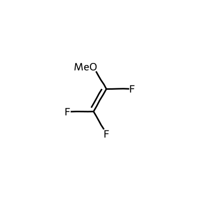 COC(F)=C(F)F